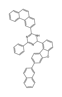 c1ccc(C2=NC(c3cccc4oc5cc(-c6ccc7ccccc7c6)ccc5c34)NC(c3ccc4ccc5ccccc5c4c3)=N2)cc1